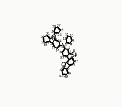 C[Si]1(C)c2cc(N(c3ccccc3)c3ccc4c5ccccc5n(-c5ccccc5)c4c3)ccc2-c2c1ccc1c2oc2ccccc21